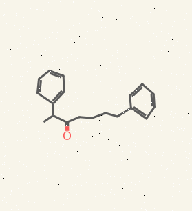 CC(C(=O)CCCCc1ccccc1)c1ccccc1